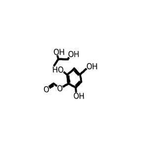 CC(O)CO.O=COc1c(O)cc(O)cc1O